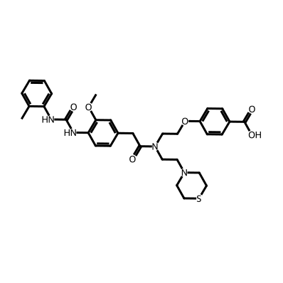 COc1cc(CC(=O)N(CCOc2ccc(C(=O)O)cc2)CCN2CCSCC2)ccc1NC(=O)Nc1ccccc1C